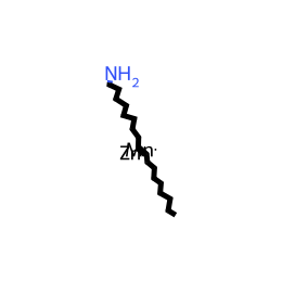 CCCCCCCCC=CCCCCCCCCN.[Mn].[Zn]